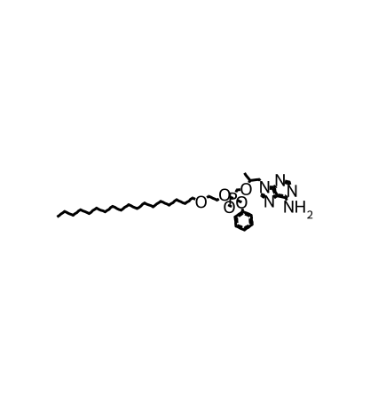 CCCCCCCCCCCCCCCCCCOCCOP(=O)(COC(C)Cn1cnc2c(N)ncnc21)Oc1ccccc1